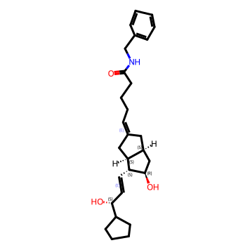 O=C(CCC/C=C1\C[C@H]2C[C@@H](O)[C@H](/C=C/[C@@H](O)C3CCCC3)[C@H]2C1)NCc1ccccc1